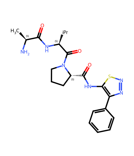 CC(C)[C@H](NC(=O)[C@H](C)N)C(=O)N1CCC[C@H]1C(=O)Nc1snnc1-c1ccccc1